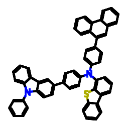 c1ccc(-n2c3ccccc3c3cc(-c4ccc(N(c5ccc(-c6cc7ccccc7c7ccccc67)cc5)c5cccc6c5sc5ccccc56)cc4)ccc32)cc1